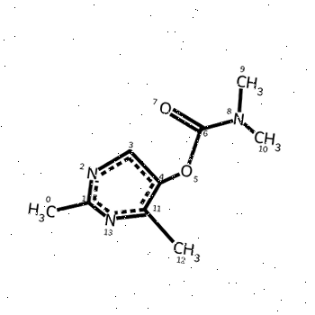 Cc1ncc(OC(=O)N(C)C)c(C)n1